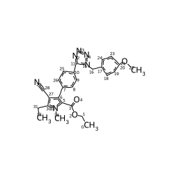 CCOC(=O)c1c(-c2ccc(-c3nnnn3Cc3ccc(OC)cc3)cc2)c(C#N)c(CC)n1C